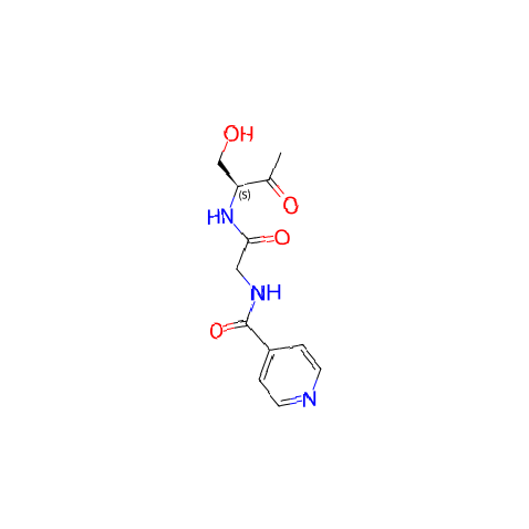 CC(=O)[C@H](CO)NC(=O)CNC(=O)c1ccncc1